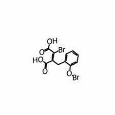 O=C(O)C(Br)=C(Cc1ccccc1OBr)C(=O)O